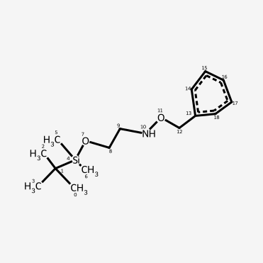 CC(C)(C)[Si](C)(C)OCCNOCc1ccccc1